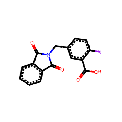 O=C(O)c1cc(CN2C(=O)c3ccccc3C2=O)ccc1I